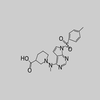 Cc1ccc(S(=O)(=O)n2ccc3c(N(C)N4CCCC(C(=O)O)C4)ncnc32)cc1